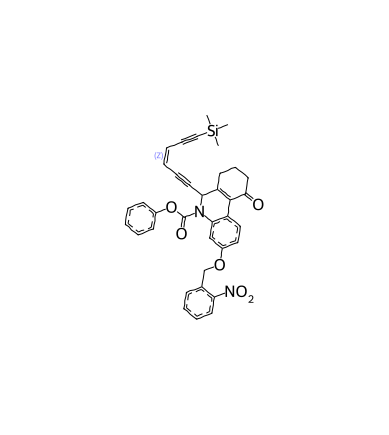 C[Si](C)(C)C#C/C=C\C#CC1C2=C(C(=O)CCC2)c2ccc(OCc3ccccc3[N+](=O)[O-])cc2N1C(=O)Oc1ccccc1